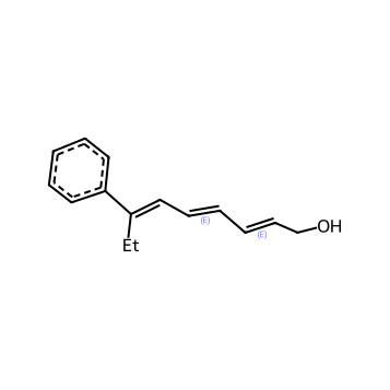 CCC(=C/C=C/C=C/CO)c1ccccc1